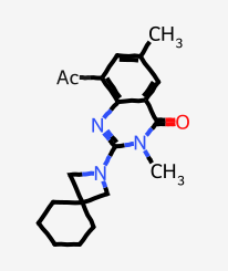 CC(=O)c1cc(C)cc2c(=O)n(C)c(N3CC4(CCCCC4)C3)nc12